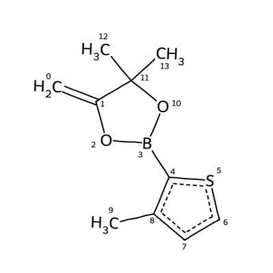 C=C1OB(c2sccc2C)OC1(C)C